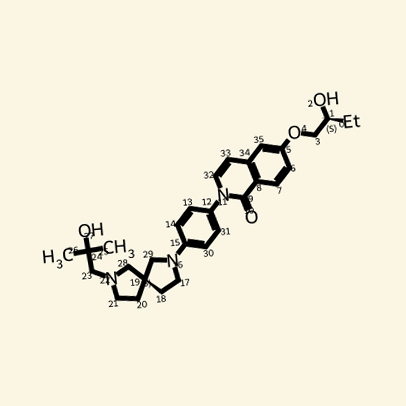 CC[C@H](O)COc1ccc2c(=O)n(-c3ccc(N4CC[C@]5(CCN(CC(C)(C)O)C5)C4)cc3)ccc2c1